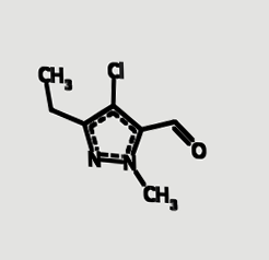 CCc1nn(C)c(C=O)c1Cl